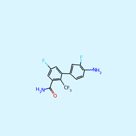 NC(=O)c1cc(F)cc(-c2ccc(N)c(F)c2)c1C(F)(F)F